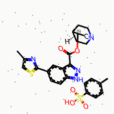 Cc1ccc(S(=O)(=O)O)cc1.Cc1csc(-c2ccc3[nH]nc(C(=O)O[C@@H]4CN5CCC4CC5)c3c2)n1